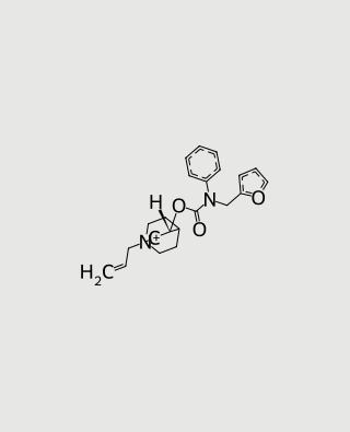 C=CC[N+]12CCC(CC1)[C@@H](OC(=O)N(Cc1ccco1)c1ccccc1)C2